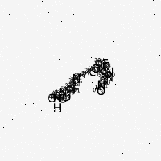 CCC(=O)N1CCN(c2ncnc3c(F)c(-c4c(F)cccc4OCCCCCCCN4CCC(c5cc6c(cc5F)C(=O)N(C5CCC(=O)NC5=O)C6)CC4)c(Cl)cc23)CC1